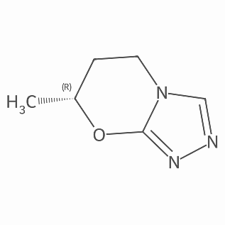 C[C@@H]1CCn2cnnc2O1